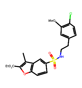 CCOC(=O)c1oc2ccc(S(=O)(=O)NCCc3ccc(Cl)c(OC)c3)cc2c1C